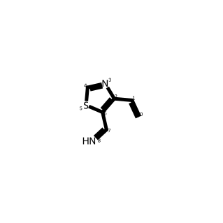 C=Cc1ncsc1C=N